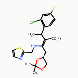 CCOC(=O)/C(=C(\C[C@H]1COC(C)(C)O1)NCc1nccs1)C(C)c1ccc(F)cc1Cl